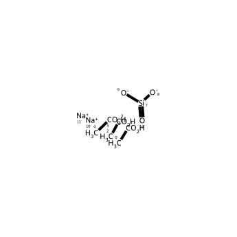 CC(=O)O.CC(=O)O.CC(=O)O.O=[Si]([O-])[O-].[Na+].[Na+]